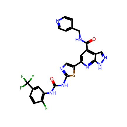 O=C(Nc1ncc(-c2cc(C(=O)NCc3ccncc3)c3cn[nH]c3n2)s1)Nc1cc(C(F)(F)F)ccc1F